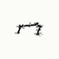 CN[C@@H](CCCCNC(=O)CC[C@H](NC(=O)CC[C@H](NC(=O)COCCOCCNC(=O)COCCOCCNC(=O)CC[C@H](NC(=O)CCCCCCC(=O)O)C(=O)O)C(=O)O)C(=O)O)C(C)=O